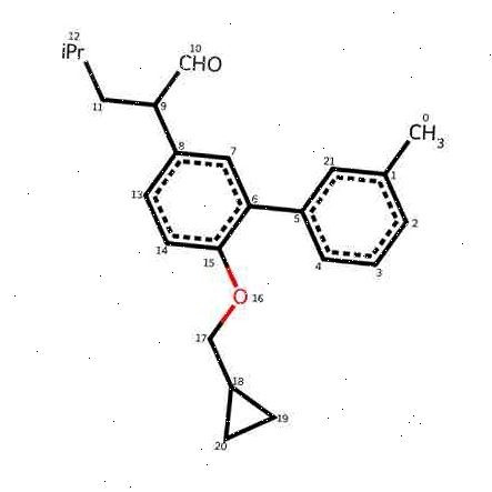 Cc1cccc(-c2cc(C(C=O)CC(C)C)ccc2OCC2CC2)c1